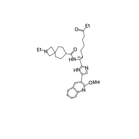 CCC(=O)CCCCC[C@H](NC(=O)C1CCC2(CC1)CN(CC)C2)c1ncc(-c2cc3ccccc3nc2OC)[nH]1